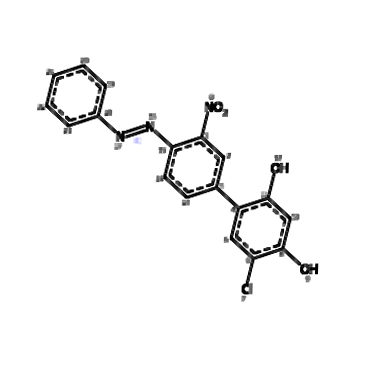 O=[N+]([O-])c1cc(-c2cc(Cl)c(O)cc2O)ccc1/N=N/c1ccccc1